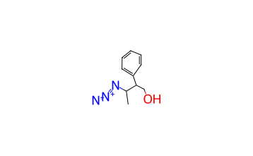 CC(N=[N+]=[N-])C(CO)c1ccccc1